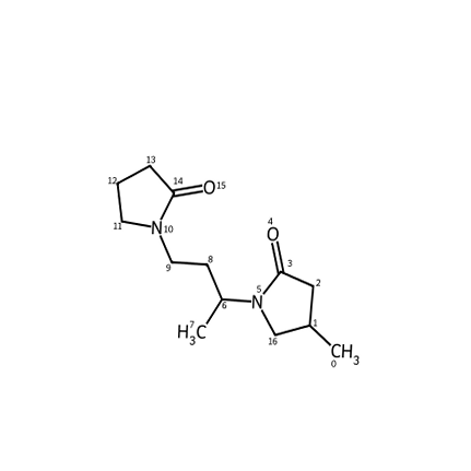 CC1CC(=O)N(C(C)CCN2CCCC2=O)C1